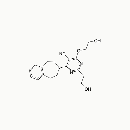 N#Cc1c(OCCO)nc(CCO)nc1N1CCc2ccccc2CC1